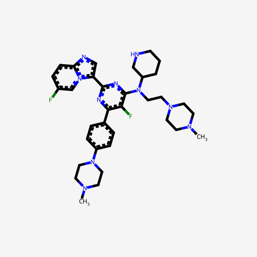 CN1CCN(CCN(c2nc(-c3cnc4ccc(F)cn34)nc(-c3ccc(N4CCN(C)CC4)cc3)c2F)C2CCCNC2)CC1